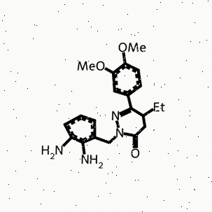 CCC1CC(=O)N(Cc2cccc(N)c2N)N=C1c1ccc(OC)c(OC)c1